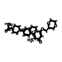 Cc1c2n(c(OC[C@@H]3COCCO3)cc1=O)CCc1cc(N3CCN(C(=O)C(C)(C)C)CC3)ccc1-2